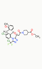 CCOC(=O)C1CCN(C(=O)C[C@@H]2O[C@@H](c3cccc(OC)c3C)c3cc(Cl)ccc3-n3c2nnc3C(F)(F)Cl)CC1